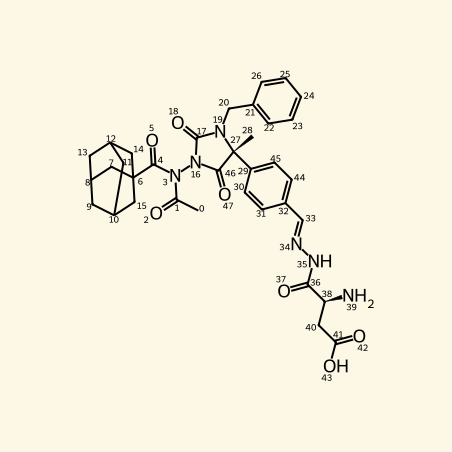 CC(=O)N(C(=O)C12CC3CC(CC(C3)C1)C2)N1C(=O)N(Cc2ccccc2)[C@](C)(c2ccc(C=NNC(=O)[C@@H](N)CC(=O)O)cc2)C1=O